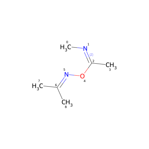 C/N=C(/C)ON=C(C)C